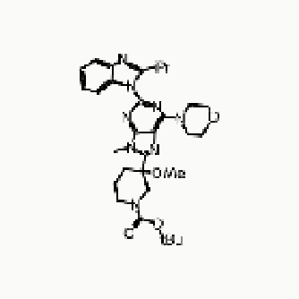 COC1(c2nc3c(N4CCOCC4)nc(-n4c(C(C)C)nc5ccccc54)nc3n2C)CCCN(C(=O)OC(C)(C)C)C1